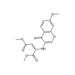 COC(=O)C=C(Nc1coc2cc(OC)ccc2c1=O)C(=O)OC